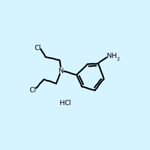 Cl.Nc1cccc(N(CCCl)CCCl)c1